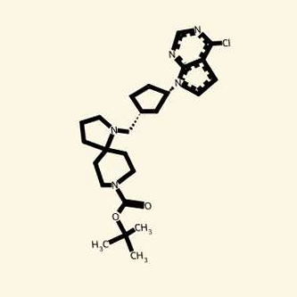 CC(C)(C)OC(=O)N1CCC2(CCCN2C[C@@H]2CC[C@H](n3ccc4c(Cl)ncnc43)C2)CC1